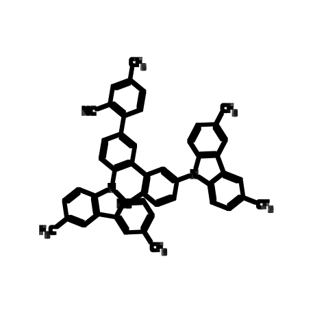 N#Cc1cc(C(F)(F)F)ccc1-c1ccc(-n2c3ccc(C(F)(F)F)cc3c3cc(C(F)(F)F)ccc32)c(-c2cc(-n3c4ccc(C(F)(F)F)cc4c4cc(C(F)(F)F)ccc43)ccc2C#N)c1